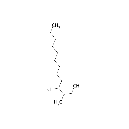 [CH2]C(CC)C(Cl)CCCCCCCCC